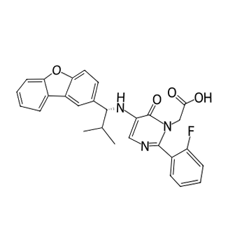 CC(C)[C@@H](Nc1cnc(-c2ccccc2F)n(CC(=O)O)c1=O)c1ccc2oc3ccccc3c2c1